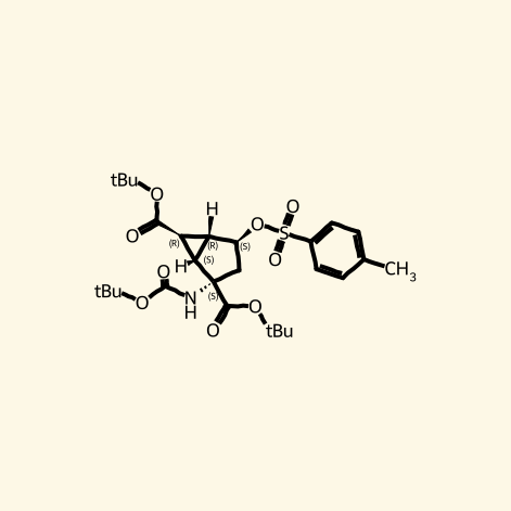 Cc1ccc(S(=O)(=O)O[C@H]2C[C@@](NC(=O)OC(C)(C)C)(C(=O)OC(C)(C)C)[C@@H]3[C@@H](C(=O)OC(C)(C)C)[C@@H]32)cc1